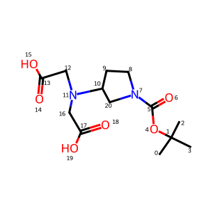 CC(C)(C)OC(=O)N1CCC(N(CC(=O)O)CC(=O)O)C1